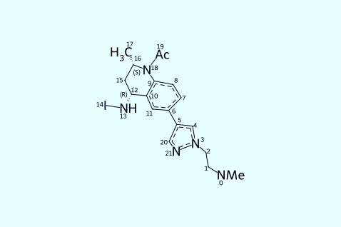 CNCCn1cc(-c2ccc3c(c2)[C@H](NI)C[C@H](C)N3C(C)=O)cn1